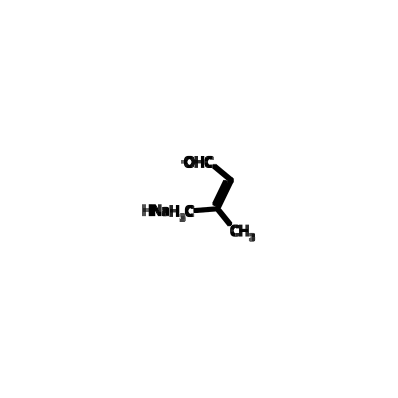 CC(C)=C[C]=O.[NaH]